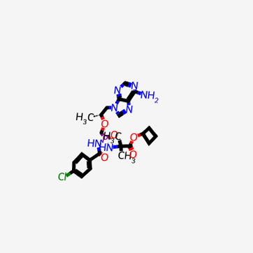 C[C@H](Cn1cnc2c(N)ncnc21)OCP(=O)(NC(=O)c1ccc(Cl)cc1)NC(C)(C)C(=O)OC1CCC1